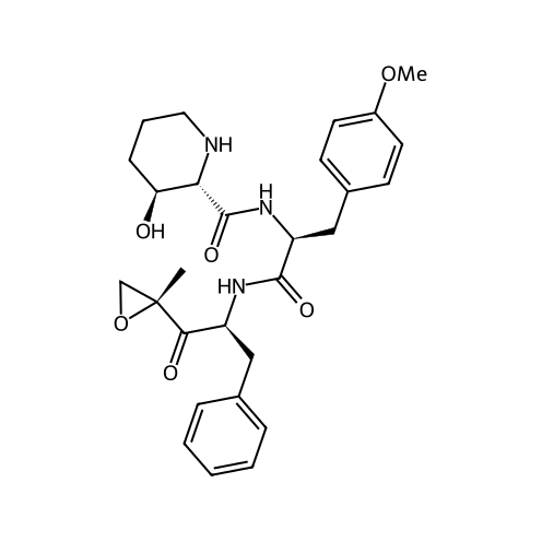 COc1ccc(C[C@H](NC(=O)[C@H]2NCCC[C@@H]2O)C(=O)N[C@@H](Cc2ccccc2)C(=O)[C@@]2(C)CO2)cc1